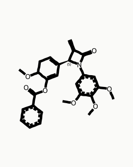 C=C1C(=O)N(c2cc(OC)c(OC)c(OC)c2)[C@H]1C1=CCC(OC)C(OC(=O)c2ccccc2)=C1